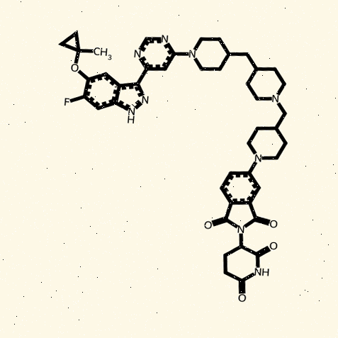 CC1(Oc2cc3c(-c4cc(N5CCC(CC6CCN(CC7CCN(c8ccc9c(c8)C(=O)N(C8CCC(=O)NC8=O)C9=O)CC7)CC6)CC5)ncn4)n[nH]c3cc2F)CC1